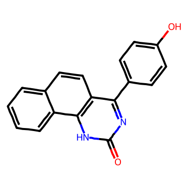 O=c1nc(-c2ccc(O)cc2)c2ccc3ccccc3c2[nH]1